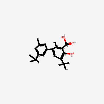 Cc1cc(-c2cc(C(C)(C)C)c(O)c(C(=O)O)c2C)cc(C(C)(C)C)c1